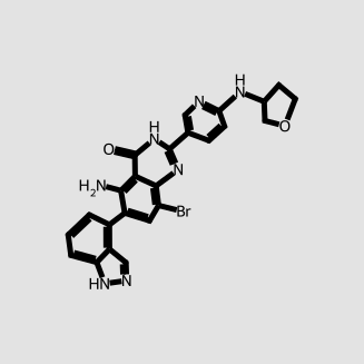 Nc1c(-c2cccc3[nH]ncc23)cc(Br)c2nc(-c3ccc(NC4CCOC4)nc3)[nH]c(=O)c12